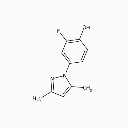 Cc1cc(C)n(-c2ccc(O)c(F)c2)n1